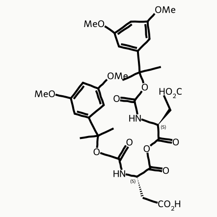 COc1cc(OC)cc(C(C)(C)OC(=O)N[C@@H](CC(=O)O)C(=O)OC(=O)[C@H](CC(=O)O)NC(=O)OC(C)(C)c2cc(OC)cc(OC)c2)c1